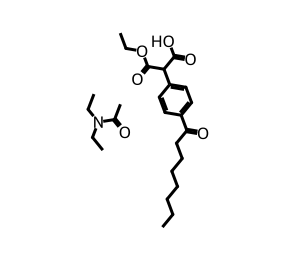 CCCCCCCC(=O)c1ccc(C(C(=O)O)C(=O)OCC)cc1.CCN(CC)C(C)=O